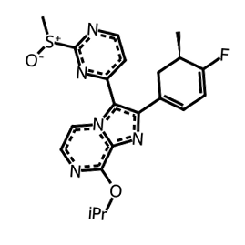 CC(C)Oc1nccn2c(-c3ccnc([S+](C)[O-])n3)c(C3=CC=C(F)[C@H](C)C3)nc12